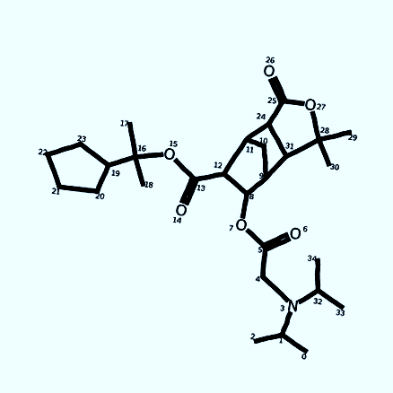 CC(C)N(CC(=O)OC1C2CC(C1C(=O)OC(C)(C)C1CCCC1)C1C(=O)OC(C)(C)C21)C(C)C